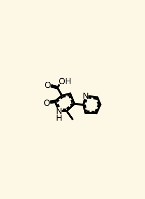 Cc1[nH]c(=O)c(C(=O)O)cc1-c1ccccn1